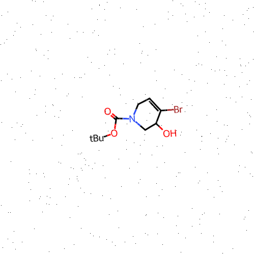 CC(C)(C)OC(=O)N1CC=C(Br)C(O)C1